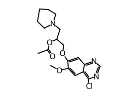 COc1cc2c(Cl)ncnc2cc1OCC(CN1CCCCC1)OC(C)=O